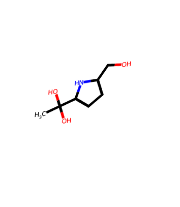 CC(O)(O)C1CCC(CO)N1